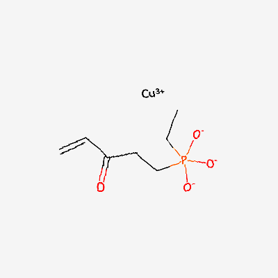 C=CC(=O)CCP([O-])([O-])([O-])CC.[Cu+3]